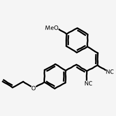 [C-]#[N+]C(=Cc1ccc(OC)cc1)C(=Cc1ccc(OCC=C)cc1)[N+]#[C-]